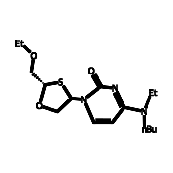 CCCCN(CC)c1ccn(C2CO[C@H](COCC)S2)c(=O)n1